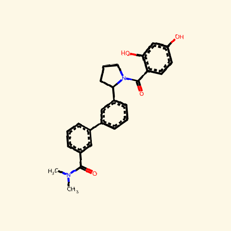 CN(C)C(=O)c1cccc(-c2cccc(C3CCCN3C(=O)c3ccc(O)cc3O)c2)c1